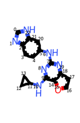 c1nc2ccc(Nc3nc(NC4CC4)c4occc4n3)cc2[nH]1